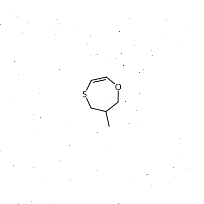 CC1COC=CSC1